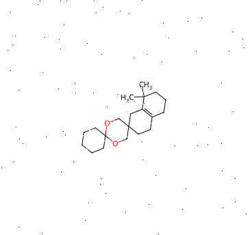 CC1(C)CCCC2=C1CC1(CC2)COC2(CCCCC2)OC1